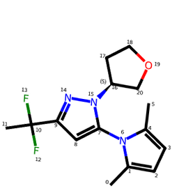 Cc1ccc(C)n1-c1cc(C(C)(F)F)nn1[C@H]1CCOC1